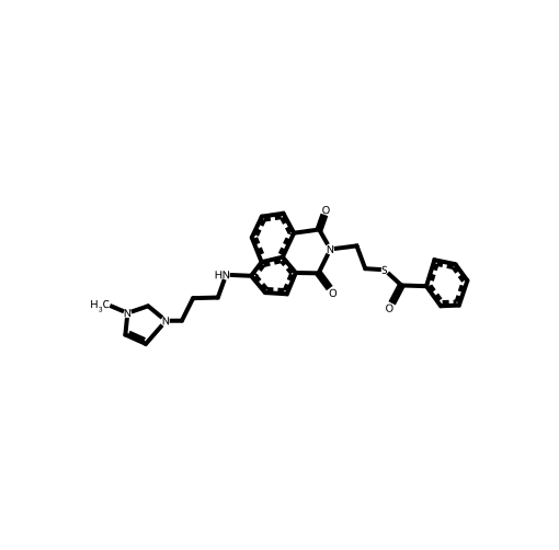 CN1C=CN(CCCNc2ccc3c4c(cccc24)C(=O)N(CCSC(=O)c2ccccc2)C3=O)C1